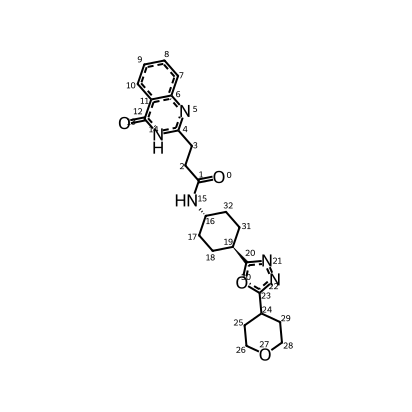 O=C(CCc1nc2ccccc2c(=O)[nH]1)N[C@H]1CC[C@H](c2nnc(C3CCOCC3)o2)CC1